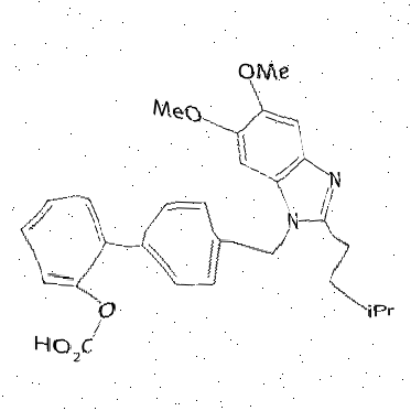 COc1cc2nc(CCC(C)C)n(Cc3ccc(-c4ccccc4OC(=O)O)cc3)c2cc1OC